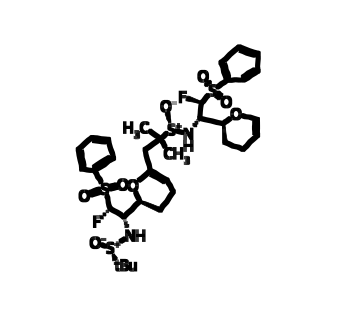 CC(C)(C)[S@@+]([O-])N[C@@H]([C@@H]1CCC=C(CC(C)(C)[S@@+]([O-])N[C@@H]([C@@H]2CCC=CO2)[C@@H](F)S(=O)(=O)c2ccccc2)O1)[C@H](F)S(=O)(=O)c1ccccc1